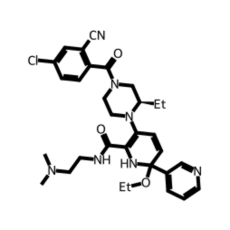 CCOC1(c2cccnc2)C=CC(N2CCN(C(=O)c3ccc(Cl)cc3C#N)C[C@H]2CC)=C(C(=O)NCCN(C)C)N1